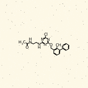 CC(=O)NCCNc1nc(Cl)nc(OCc2cccc(-c3ccccc3)c2C)n1